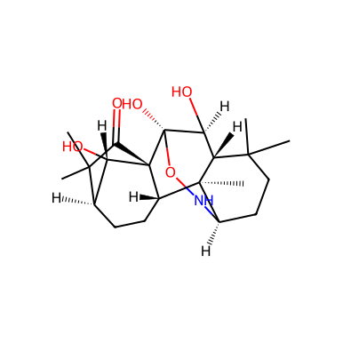 CC1(C)CC[C@H]2NO[C@]3(O)[C@@H](O)[C@H]1[C@]2(C)[C@@H]1CC[C@@H]2[C@H](O)[C@@]13C(=O)C2(C)C